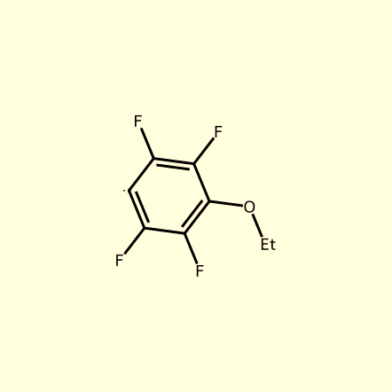 CCOc1c(F)c(F)[c]c(F)c1F